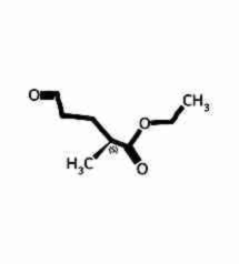 CCOC(=O)[C@@H](C)CCC=O